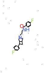 O=C(NCCCN1CC2CC(c3ccc(F)cc3)C2C1)c1ccc(F)cc1